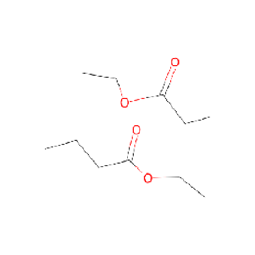 CCCC(=O)OCC.CCOC(=O)CC